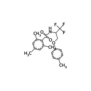 Cc1ccc(OCC(NS(=O)(=O)c2c(C)cc(C)cc2C)C(F)(F)F)cc1